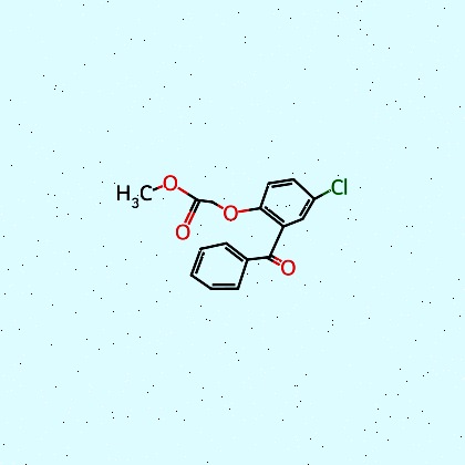 COC(=O)COc1ccc(Cl)cc1C(=O)c1ccccc1